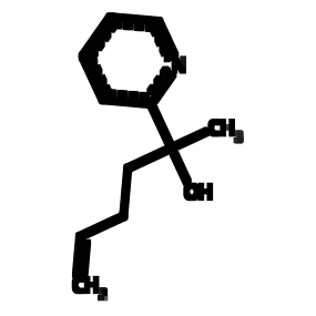 C=CCCC(C)(O)c1ccccn1